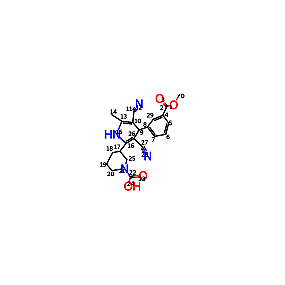 COC(=O)c1cccc(C2C(C#N)=C(C)NC(C3CCCN(C(=O)O)C3)=C2C#N)c1